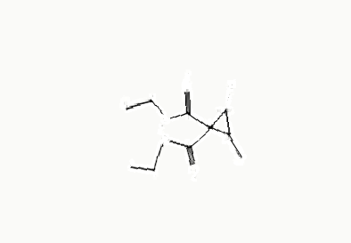 CCOC(=O)C1(C(=O)OCC)C(C)[C@H]1C